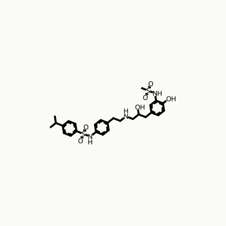 CC(C)c1ccc(S(=O)(=O)Nc2ccc(CCNCC(O)Cc3ccc(O)c(NS(C)(=O)=O)c3)cc2)cc1